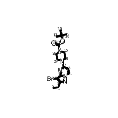 CCc1nn2ccc(N3CCN(C(=O)OC(C)(C)C)CC3)nc2c1Br